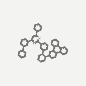 C1=CC(c2cccc(-c3nc(-c4ccccc4)cc(-c4cccc(-c5ccccc5)c4)n3)c2)C(c2ccc3c4ccccc4c4ccccc4c3c2)C=C1